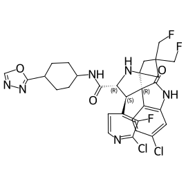 O=C(NC1CCC(c2nnco2)CC1)[C@@H]1NC2(CC(CF)(CF)C2)[C@@]2(C(=O)Nc3cc(Cl)ccc32)[C@H]1c1ccnc(Cl)c1F